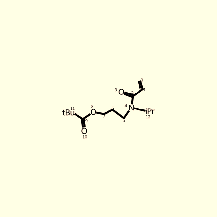 C=CC(=O)N(CCCOC(=O)C(C)(C)C)C(C)C